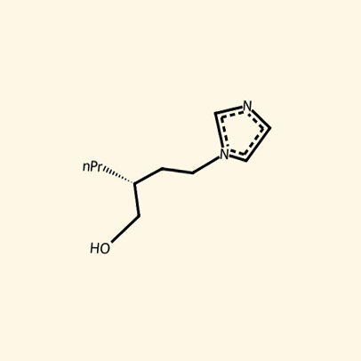 CCC[C@@H](CO)CCn1ccnc1